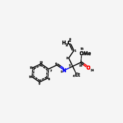 C=CCC(CC)(N=Cc1ccccc1)C(=O)OC